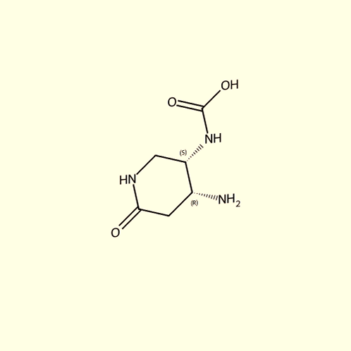 N[C@@H]1CC(=O)NC[C@@H]1NC(=O)O